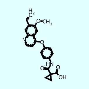 C=Cc1cc2nccc(Oc3ccc(NC(=O)C4(C(=O)O)CC4)cc3)c2cc1OC